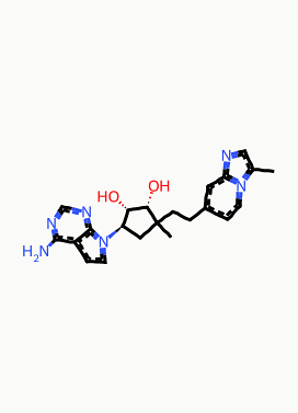 Cc1cnc2cc(CCC3(C)C[C@@H](n4ccc5c(N)ncnc54)[C@H](O)[C@@H]3O)ccn12